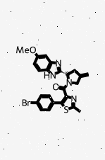 C=C1C[C@@H](c2nc3cc(OC)ccc3[nH]2)N(C(=O)c2nc(C)sc2-c2ccc(Br)cc2)C1